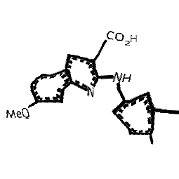 COc1ccc2cc(C(=O)O)c(Nc3ccc(C)c(C)c3)nc2c1